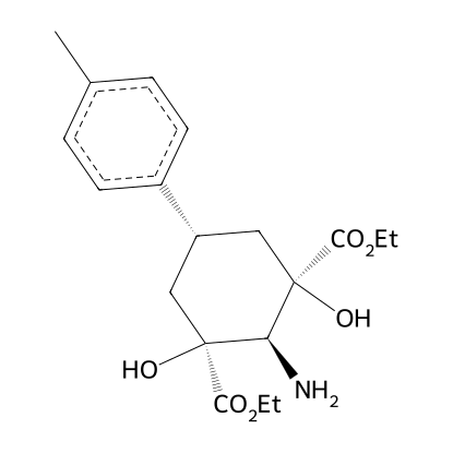 CCOC(=O)[C@]1(O)C[C@H](c2ccc(C)cc2)C[C@](O)(C(=O)OCC)[C@H]1N